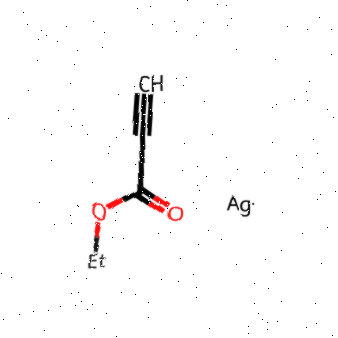 C#CC(=O)OCC.[Ag]